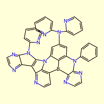 c1ccc(N2c3cc(N(c4ccccn4)c4ccccn4)cc4c3B(c3nccnc32)c2ccnc3c5c6nccnc6n(-c6ccccn6)c5n-4c23)cc1